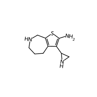 Nc1sc2c(c1C1CN1)CCCNC2